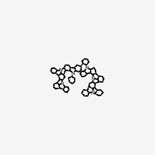 c1ccc(-n2c3ccc(-c4ccccc4-n4c5ccccc5c5c4ccc4c6cccc7c8c9c%10ccccc%10n%10c%11ccccc%11c(cc8n(c67)c45)c9%10)cc3c3ccc4c(c5cc6c(c7cccc8c9ccccc9n6c87)c6c7ccccc7n4c56)c32)cc1